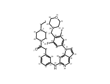 CCN1CCN(C(=O)Cc2cccc(Nc3ncc4ccn(-c5cc(F)c(CN6CCOCC6)c(F)c5)c4n3)c2)CC1